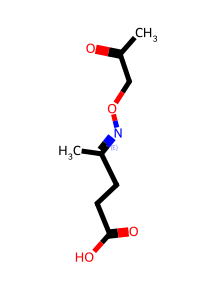 CC(=O)CO/N=C(\C)CCC(=O)O